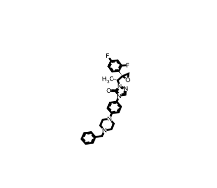 C[C@@H](n1ncn(-c2ccc(N3CCN(Cc4ccccc4)CC3)cc2)c1=O)[C@@]1(c2ccc(F)cc2F)CO1